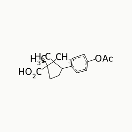 CC(=O)Oc1ccc(C2CCC(C)(C(=O)O)C2(C)C)cc1